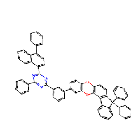 c1ccc(-c2nc(-c3cccc(-c4ccc5c(c4)Oc4c(ccc6c4-c4ccccc4C6(c4ccccc4)c4ccccc4)O5)c3)nc(-c3ccc(-c4ccccc4)c4ccccc34)n2)cc1